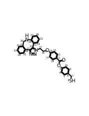 O=C(Oc1ccc(CS)cc1)c1ccc(OCCn2nnc3c2-c2ccccc2NCc2ccccc2-3)cc1